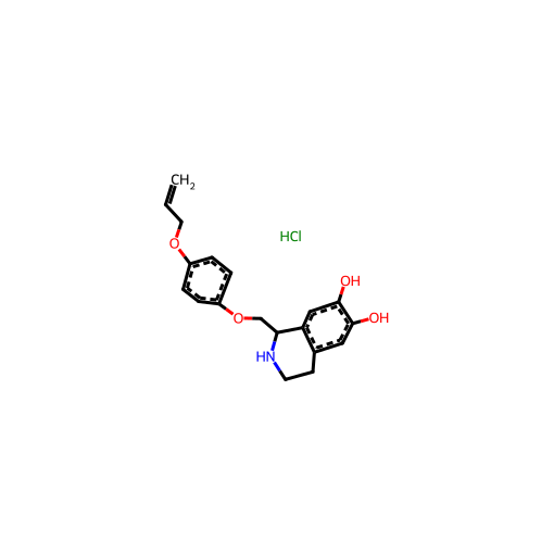 C=CCOc1ccc(OCC2NCCc3cc(O)c(O)cc32)cc1.Cl